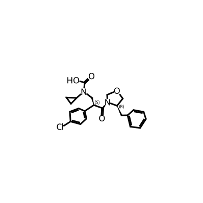 O=C(O)N(C[C@@H](C(=O)N1COC[C@H]1Cc1ccccc1)c1ccc(Cl)cc1)C1CC1